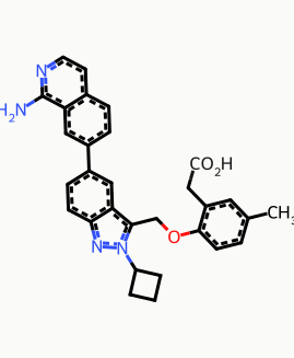 Cc1ccc(OCc2c3cc(-c4ccc5ccnc(N)c5c4)ccc3nn2C2CCC2)c(CC(=O)O)c1